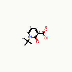 CC(C)(C)n1cccc(C(=O)O)c1=O